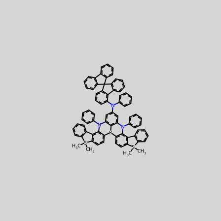 C[Si]1(C)c2ccccc2-c2c1ccc1c2N(c2ccccc2)c2cc(N(c3ccccc3)c3cccc4c3-c3ccccc3C43c4ccccc4-c4ccccc43)cc3c2B1c1ccc2c(c1N3c1ccccc1)-c1ccccc1[Si]2(C)C